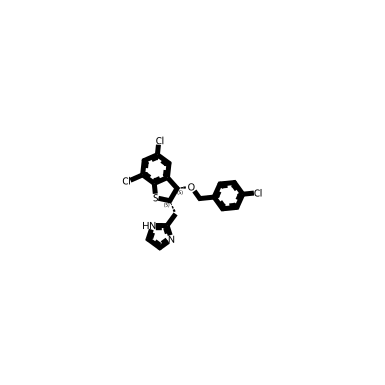 Clc1ccc(CO[C@H]2c3cc(Cl)cc(Cl)c3S[C@H]2Cc2ncc[nH]2)cc1